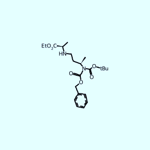 CCOC(=O)[C@@H](C)NCC[C@@H](C)N(C(=O)OCc1ccccc1)C(=O)OC(C)(C)C